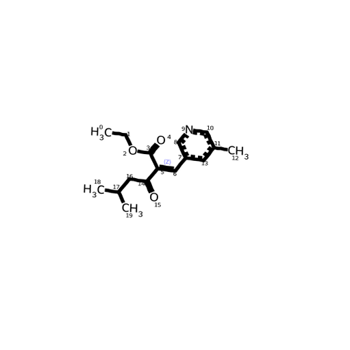 CCOC(=O)/C(=C\c1cncc(C)c1)C(=O)CC(C)C